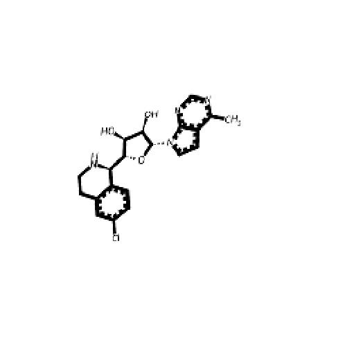 Cc1ncnc2c1ccn2[C@@H]1O[C@H]([C@@H]2NCCc3cc(Cl)ccc32)[C@@H](O)[C@H]1O